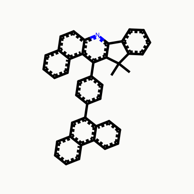 CC1(C)c2ccccc2-c2nc3ccc4ccccc4c3c(-c3ccc(-c4cc5ccccc5c5ccccc45)cc3)c21